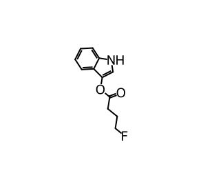 O=C(CCCF)Oc1c[nH]c2ccccc12